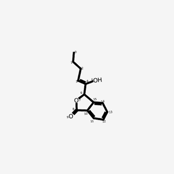 CCC/C=C(\O)C1OC(=O)c2ccccc21